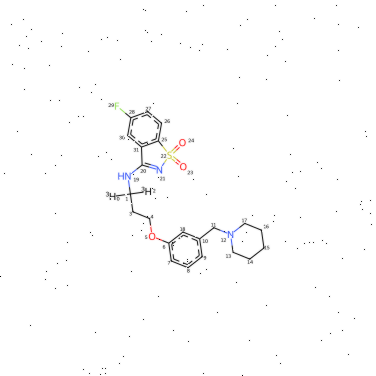 [3H]C([3H])(CCOc1cccc(CN2CCCCC2)c1)NC1=NS(=O)(=O)c2ccc(F)cc21